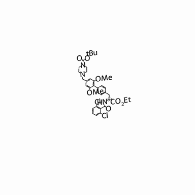 CCOC(=O)[C@H](Cc1ccc(-c2c(OC)cc(CN3CCN(C(=O)OC(C)(C)C)CC3)cc2OC)cc1)NC(=O)c1c(Cl)cccc1Cl